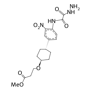 COC(=O)CCO[C@H]1CC[C@H](c2ccc(NC(=O)C(=O)NN)c([N+](=O)[O-])c2)CC1